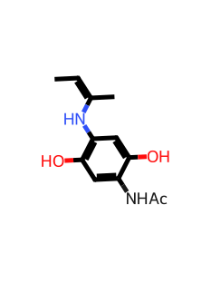 C/C=C(/C)Nc1cc(O)c(NC(C)=O)cc1O